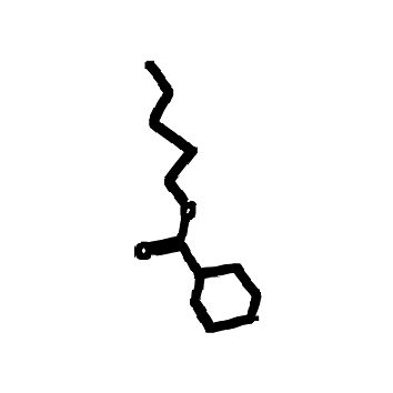 CCCCCOC(=O)C1CC[CH]CC1